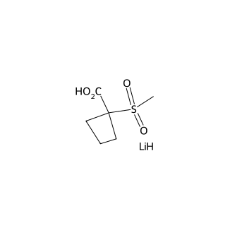 CS(=O)(=O)C1(C(=O)O)CCC1.[LiH]